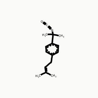 CC(C)=CCc1ccc(C(C)(C)N=C=O)cc1